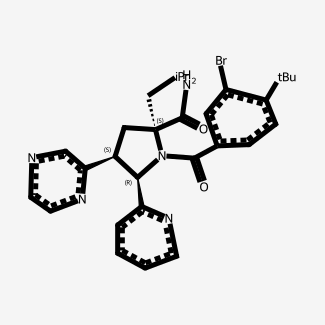 CC(C)C[C@@]1(C(N)=O)C[C@H](c2cnccn2)[C@H](c2ccccn2)N1C(=O)c1ccc(C(C)(C)C)c(Br)c1